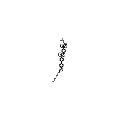 CCCCCCCCCOc1ccc(-c2ccc(C(=O)Oc3ccc(C(=O)O[C@H](C)CCC(C)C)cc3)cc2)cc1